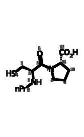 CCCN[C@@H](CS)C(=O)N1CCC[C@H]1C(=O)O